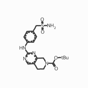 CC(C)(C)OC(=O)N1CCc2cnc(Nc3ccc(CS(N)(=O)=O)cc3)nc2C1